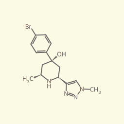 C[C@H]1C[C@](O)(c2ccc(Br)cc2)C[C@@H](c2cn(C)nn2)N1